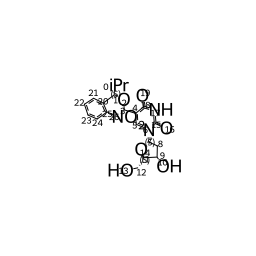 CC(C)[C@H](OCc1cn([C@@H]2CC(O)[C@H](CO)O2)c(=O)[nH]c1=O)c1ccccc1[N+](=O)[O-]